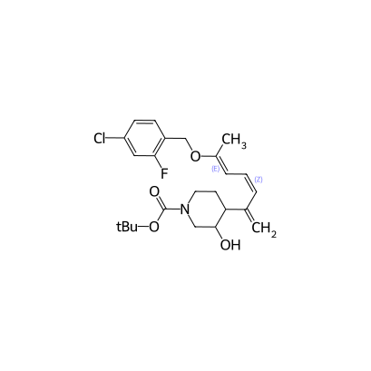 C=C(/C=C\C=C(/C)OCc1ccc(Cl)cc1F)C1CCN(C(=O)OC(C)(C)C)CC1O